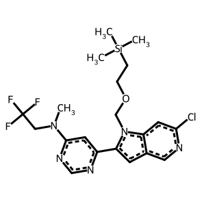 CN(CC(F)(F)F)c1cc(-c2cc3cnc(Cl)cc3n2COCC[Si](C)(C)C)ncn1